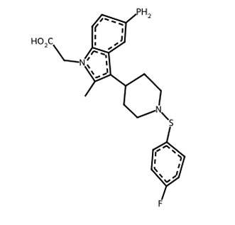 Cc1c(C2CCN(Sc3ccc(F)cc3)CC2)c2cc(P)ccc2n1CC(=O)O